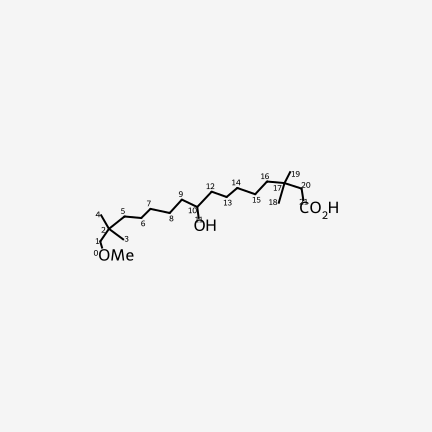 COCC(C)(C)CCCCCC(O)CCCCCC(C)(C)CC(=O)O